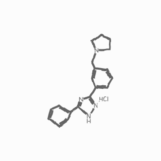 Cl.c1ccc(-c2nc(-c3cccc(CN4CCCC4)c3)n[nH]2)cc1